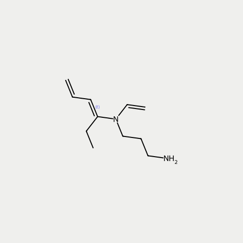 C=C/C=C(\CC)N(C=C)CCCN